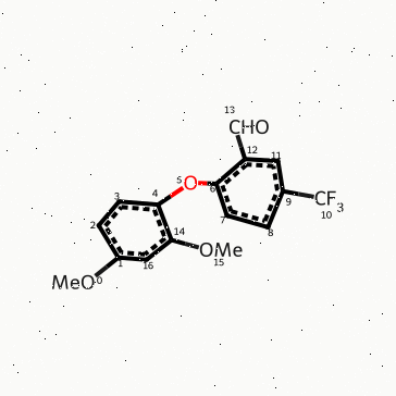 COc1ccc(Oc2ccc(C(F)(F)F)cc2C=O)c(OC)c1